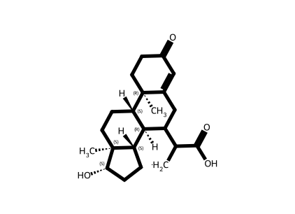 [CH2]C(C(=O)O)C1CC2=CC(=O)CC[C@]2(C)[C@H]2CC[C@]3(C)[C@@H](O)CC[C@H]3[C@H]12